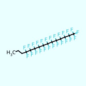 CCCC(F)(F)C(F)(F)C(F)(F)C(F)(F)C(F)(F)C(F)(F)C(F)(F)C(F)(F)C(F)(F)C(F)(F)C(F)(F)C(F)(F)F